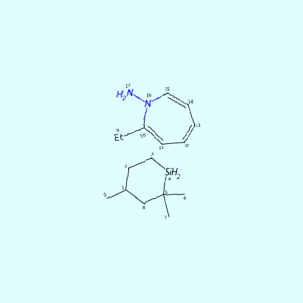 CC1CC[SiH2]C(C)(C)C1.CCC1=CC=CC=CN1N